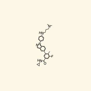 Cc1c(F)cc(C(=O)NC2CC2)cc1-c1ccc2c(cnn2-c2ccc(NCCCN(C)C)cc2)c1